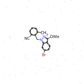 COc1nn(Cc2c(C)cccc2C#N)c2cc(Br)ccc12